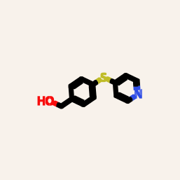 OCc1ccc(Sc2ccncc2)cc1